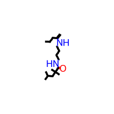 C=C(CCC)NCCCCNC(=O)C(C)(C)CC(C)C